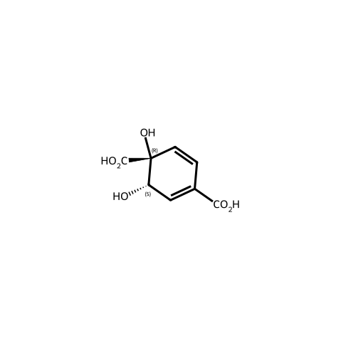 O=C(O)C1=C[C@H](O)[C@@](O)(C(=O)O)C=C1